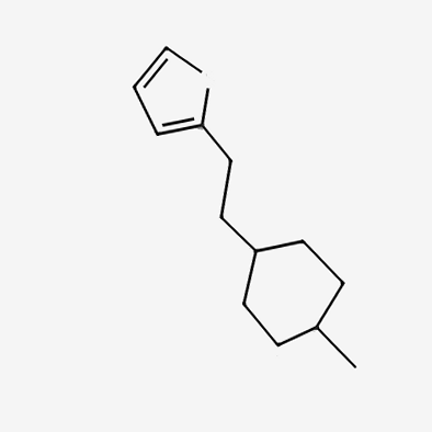 CC1CCC(CCc2cccs2)CC1